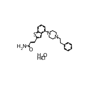 Cl.NC(=O)C=Cc1cc2c(N3CCN(CCc4ccccc4)CC3)cccc2s1.O